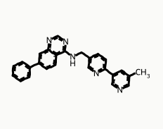 Cc1cncc(-c2ccc(CNc3ncnc4cc(-c5ccccc5)ccc34)cn2)c1